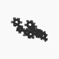 N/C(=N\c1cc(F)ccc1Cl)c1cnn2cc(-c3cnn(C4CCCCO4)c3)cc2c1NC1C2CCCC1CC(CCO)C2